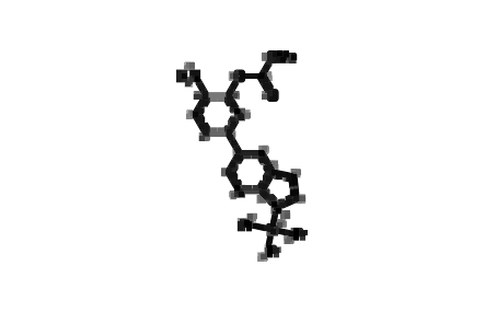 COC(=O)Oc1nc(-c2cnc3c(ccn3[Si](C(C)C)(C(C)C)C(C)C)c2)ccc1N